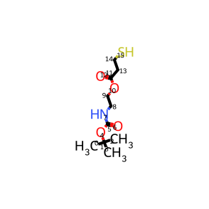 CC(C)(C)OC(=O)NCCOC(=O)CCS